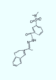 C/C(=N\NC(=O)c1cccc(S(=O)(=O)N(C)C)c1)c1ccc2ccccc2c1